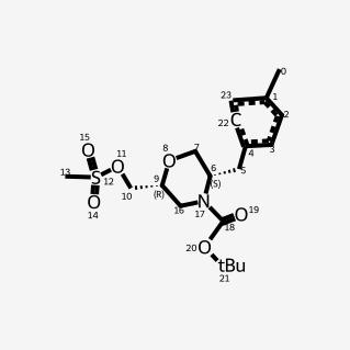 Cc1ccc(C[C@H]2CO[C@@H](COS(C)(=O)=O)CN2C(=O)OC(C)(C)C)cc1